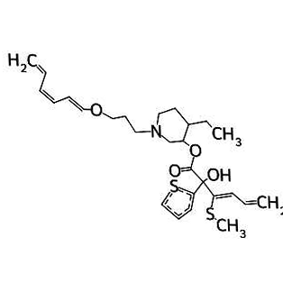 C=C/C=C\C=C\OCCCN1CCC(CC)C(OC(=O)C(O)(/C(=C/C=C)SC)c2cccs2)C1